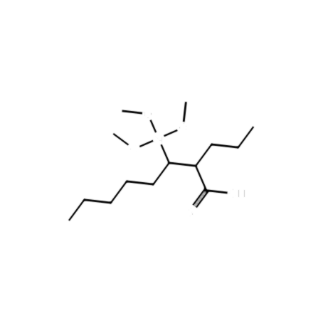 CCCCCC(C(CCC)C(O)=S)[Si](OC)(OC)OC